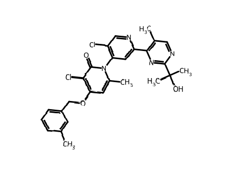 Cc1cccc(COc2cc(C)n(-c3cc(-c4nc(C(C)(C)O)ncc4C)ncc3Cl)c(=O)c2Cl)c1